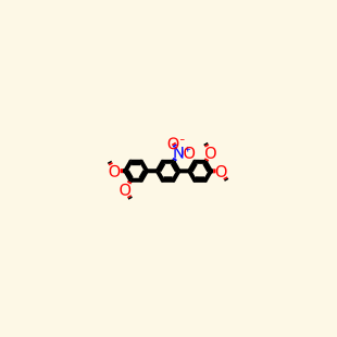 COc1ccc(-c2ccc(-c3ccc(OC)c(OC)c3)c([N+](=O)[O-])c2)cc1OC